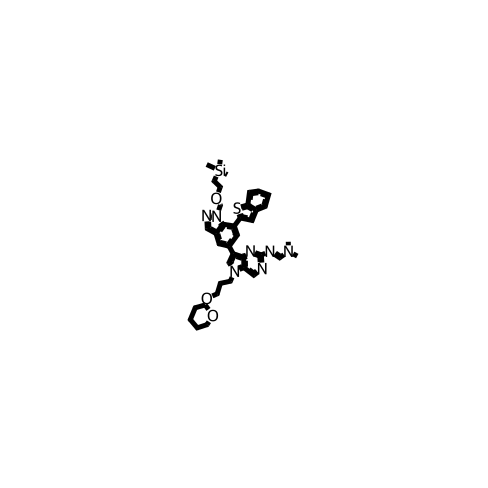 CN(C)C=Nc1ncc2c(n1)c(-c1cc(-c3cc4ccccc4s3)c3c(cnn3COCC[Si](C)(C)C)c1)cn2CCCOC1CCCCO1